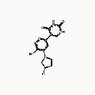 CC[C@@H]1CCN(c2cc(-c3c[nH]c(=O)[nH]c3=O)nnc2C#N)C1